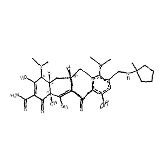 CN(C)c1c(CNC2(C)CCCC2)cc(O)c2c1C[C@H]1C[C@H]3[C@H](N(C)C)C(O)=C(C(N)=O)C(=O)[C@@]3(O)C(O)=C1C2=O